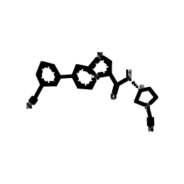 N#Cc1cccc(-c2ccn3c(C(=O)N[C@@H]4CCN(C#N)C4)cnc3c2)c1